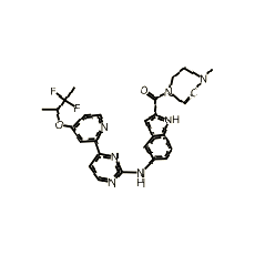 CC(Oc1ccnc(-c2ccnc(Nc3ccc4[nH]c(C(=O)N5CCN(C)CC5)cc4c3)n2)c1)C(C)(F)F